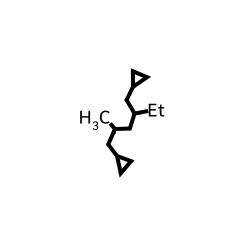 CCC(C[C](C)CC1CC1)CC1CC1